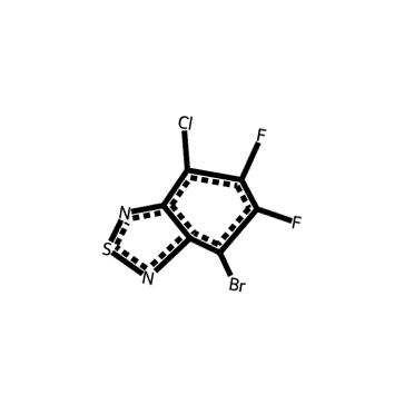 Fc1c(F)c(Br)c2nsnc2c1Cl